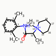 Cc1cccc(C)c1NC(=O)C(C)[N+]1(C)CCCCC1